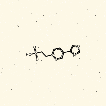 O=S(=O)(O)CC[n+]1ccc(-c2cocn2)cn1